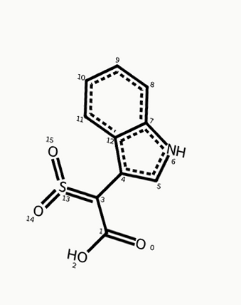 O=C(O)C(c1c[nH]c2ccccc12)=S(=O)=O